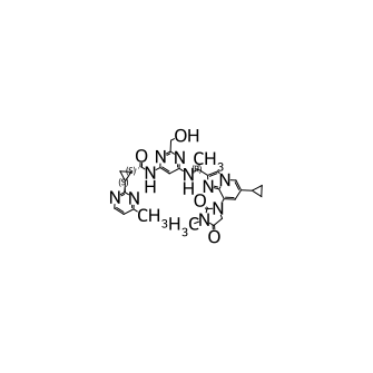 Cc1ccnc([C@H]2C[C@@H]2C(=O)Nc2cc(N[C@H](C)c3cn4cc(C5CC5)cc(N5CC(=O)N(C)C5=O)c4n3)nc(CO)n2)n1